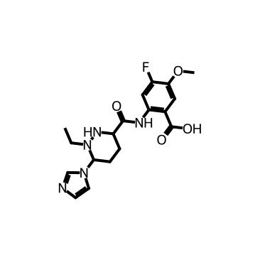 CCN1NC(C(=O)Nc2cc(F)c(OC)cc2C(=O)O)CCC1n1ccnc1